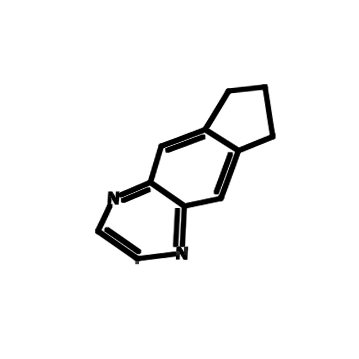 [c]1cnc2cc3c(cc2n1)CCC3